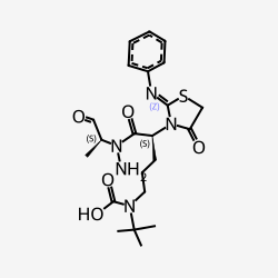 C[C@@H](C=O)N(N)C(=O)[C@H](CCCN(C(=O)O)C(C)(C)C)N1C(=O)CS/C1=N\c1ccccc1